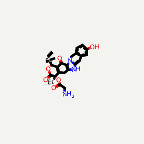 C=C[Si](C)(C)C1OC(=O)C(CC)(OC(=O)CN)C2=C1C(=O)C1=C(C2)NC2=Cc3cc(O)ccc3CN21